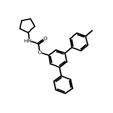 Cc1ccc(-c2cc(OC(=O)NC3CCCC3)cc(-c3ccccc3)c2)cc1